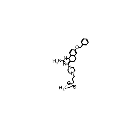 CCS(=O)(=O)CCCN1CCN(c2nc(N)nc3c2CCc2cc(OCc4ccccc4)ccc2-3)CC1